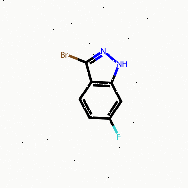 Fc1ccc2c(Br)n[nH]c2c1